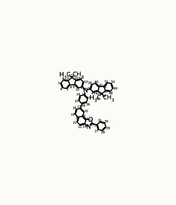 CC1(C)c2ccccc2-c2cc(N(c3ccc(-c4ccc5ccc6nc(-c7ccccc7)oc6c5c4)cc3)c3ccc4c(c3)C(C)(C)c3ccccc3-4)ccc21